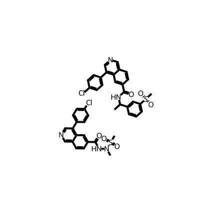 CC(NC(=O)c1ccc2cncc(-c3ccc(Cl)cc3)c2c1)c1cccc(S(C)(=O)=O)c1.CN(NC(=O)c1ccc2cncc(-c3ccc(Cl)cc3)c2c1)S(C)(=O)=O